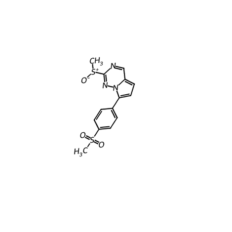 C[S+]([O-])c1ncc2ccc(-c3ccc(S(C)(=O)=O)cc3)n2n1